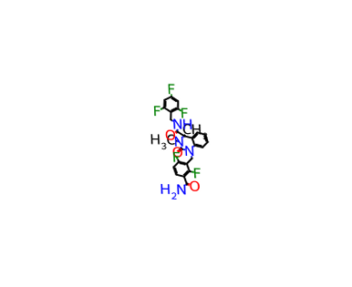 CN1C(=O)N(Cc2c(F)ccc(C(N)=O)c2F)c2ccccc2C1(C)C(=O)NCc1c(F)cc(F)cc1F